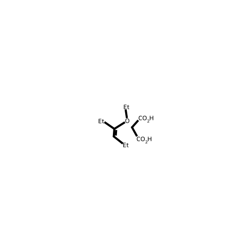 CCC=C(CC)OCC.O=C(O)CC(=O)O